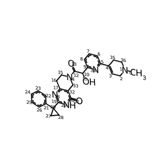 CN1CC=C(c2cccc(C(O)C(=O)N3CCc4nc(C5(c6ccccc6)CC5)[nH]c(=O)c4C3)n2)CC1